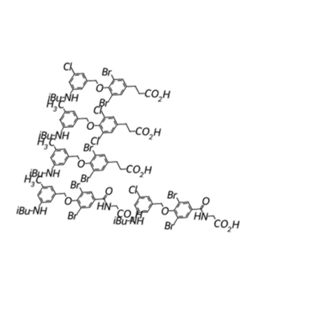 CCC(C)Nc1cc(C)cc(COc2c(Br)cc(C(=O)NCC(=O)O)cc2Br)c1.CCC(C)Nc1cc(C)cc(COc2c(Br)cc(CCC(=O)O)cc2Br)c1.CCC(C)Nc1cc(C)cc(COc2c(Cl)cc(CCC(=O)O)cc2Cl)c1.CCC(C)Nc1cc(Cl)cc(COc2c(Br)cc(C(=O)NCC(=O)O)cc2Br)c1.CCC(C)Nc1cc(Cl)cc(COc2c(Br)cc(CCC(=O)O)cc2Br)c1